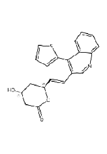 O=C1C[C@H](O)C[C@@H](C=Cc2cnc3ccccc3c2-c2cccs2)O1